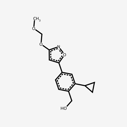 COCOc1cc(-c2ccc(CO)c(C3CC3)c2)on1